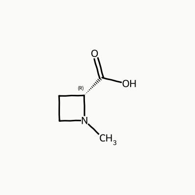 CN1CC[C@@H]1C(=O)O